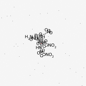 CC(C)[C@H](NC(=O)CCCCCN1C(=O)C=CC1=O)C(=O)N[C@@H](CCCNC(N)=O)C(=O)N(CCCNCCN1C(=O)c2cccc3cc([N+](=O)[O-])cc(c23)C1=O)CCN1C(=O)c2cccc3cc([N+](=O)[O-])cc(c23)C1=O